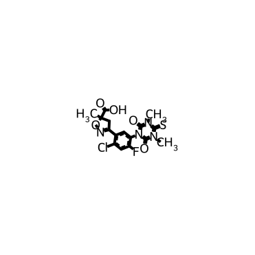 Cn1c(=S)n(C)c(=O)n(-c2cc(C3=NOC(C)(C(=O)O)C3)c(Cl)cc2F)c1=O